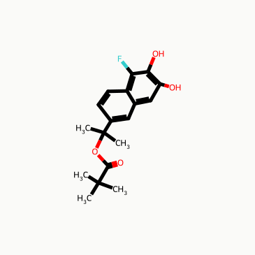 CC(C)(C)C(=O)OC(C)(C)c1ccc2c(F)c(O)c(O)cc2c1